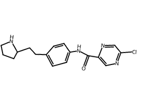 O=C(Nc1ccc(CCC2CCCN2)cc1)c1cnc(Cl)cn1